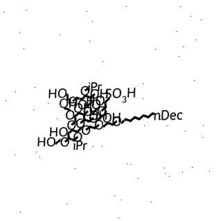 CCCCCCCCCCCCCCCCCCOCC(O)COCCOCC1OC(C(C)C)C(OCCO)C(O)C1OC1OC(COCCOCC(O)CS(=O)(=O)O)C(OC2OC(COCCO)C(OC(C)C)C(O)C2OCCO)C(O)C1OCCO